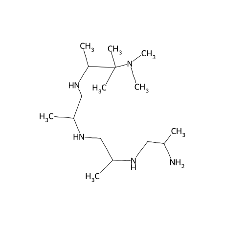 CC(N)CNC(C)CNC(C)CNC(C)C(C)(C)N(C)C